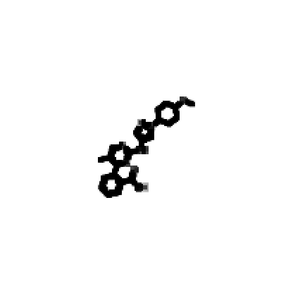 COC1CCC(n2cc(Nc3ncc(C)c(-c4ccccc4C(=O)O)n3)cn2)CC1